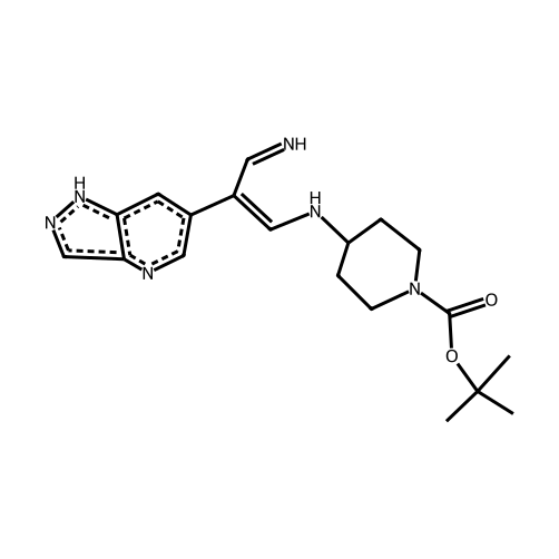 CC(C)(C)OC(=O)N1CCC(N/C=C(\C=N)c2cnc3cn[nH]c3c2)CC1